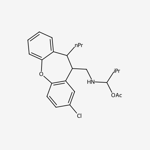 CCCC1c2ccccc2Oc2ccc(Cl)cc2C1CNC(OC(C)=O)C(C)C